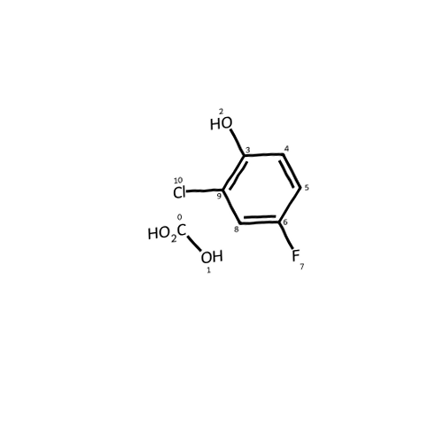 O=C(O)O.Oc1ccc(F)cc1Cl